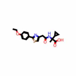 CCOc1ccc(-c2nc(CC(=O)NC(C)(C(=O)O)C3CC3)cs2)cc1